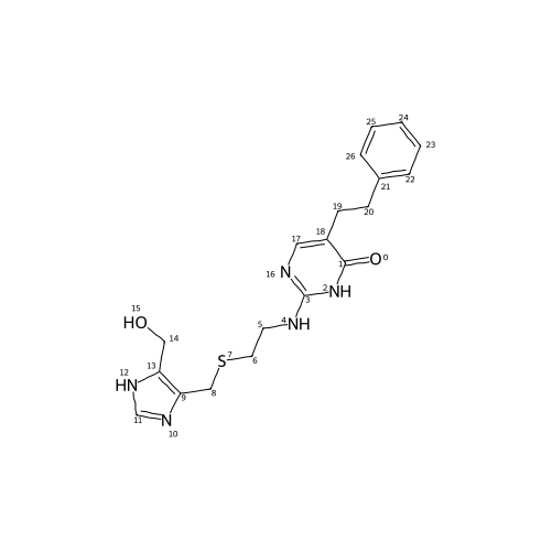 O=c1[nH]c(NCCSCc2nc[nH]c2CO)ncc1CCc1ccccc1